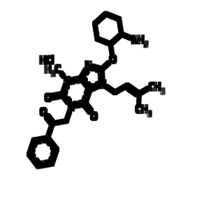 CC(C)=CCn1c(OC2CCCCC2N)nc2c1c(=O)n(CC(=O)c1ccccc1)c(=O)n2C.Cl